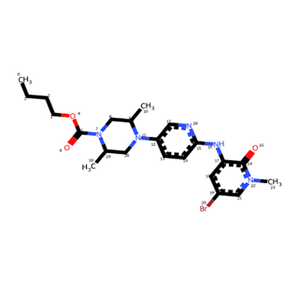 CCCCOC(=O)N1CC(C)N(c2ccc(Nc3cc(Br)cn(C)c3=O)nc2)CC1C